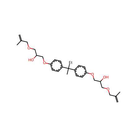 C=C(C)COCC(O)COc1ccc(C(C)(CC)c2ccc(OCC(O)COCC(=C)C)cc2)cc1